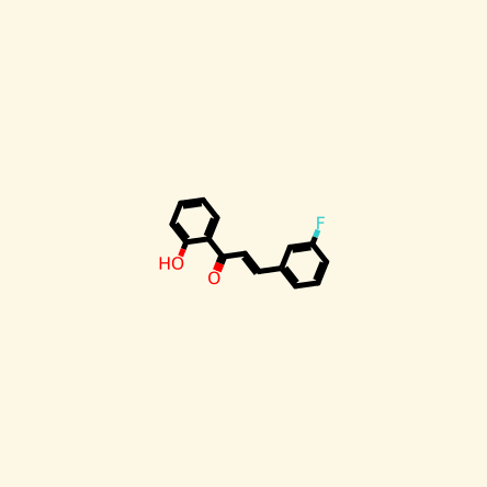 O=C(C=Cc1cccc(F)c1)c1ccccc1O